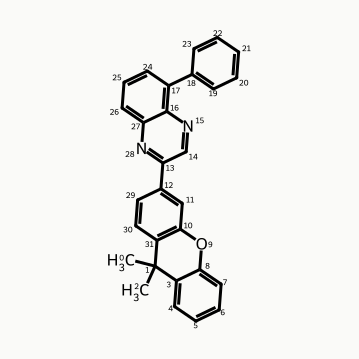 CC1(C)c2ccccc2Oc2cc(-c3cnc4c(-c5ccccc5)cccc4n3)ccc21